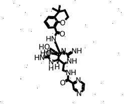 CC1(C)CCOc2c(C(=O)NC3CN4C(=N)NC(CNC(=O)c5cnccn5)[C@@H]5NC(=N)NC54C3(O)O)cccc21